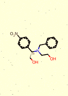 O=[N+]([O-])c1ccc([C@@H](CO)N(CCO)Cc2ccccc2)cc1